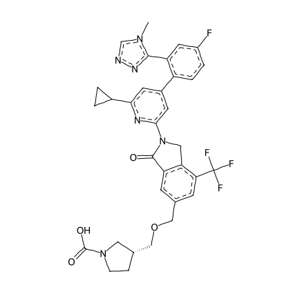 Cn1cnnc1-c1cc(F)ccc1-c1cc(C2CC2)nc(N2Cc3c(cc(COC[C@@H]4CCN(C(=O)O)C4)cc3C(F)(F)F)C2=O)c1